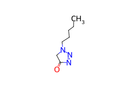 CCCCCN1CC(=O)N=N1